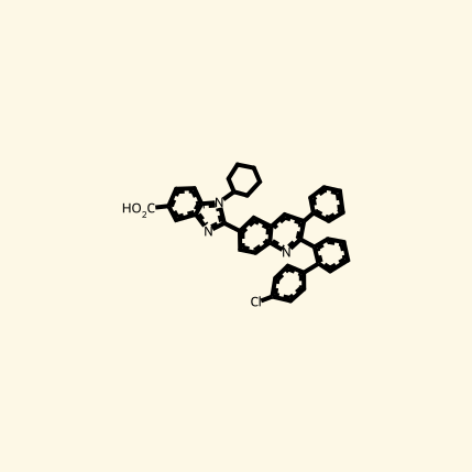 O=C(O)c1ccc2c(c1)nc(-c1ccc3nc(-c4ccccc4-c4ccc(Cl)cc4)c(-c4ccccc4)cc3c1)n2C1CCCCC1